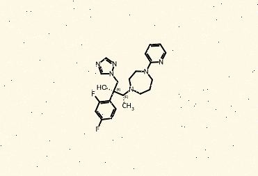 C[C@@H](N1CCCN(c2ccccn2)CC1)[C@](O)(Cn1cncn1)c1ccc(F)cc1F